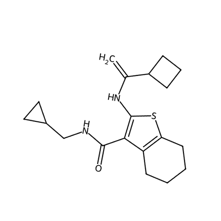 C=C(Nc1sc2c(c1C(=O)NCC1CC1)CCCC2)C1CCC1